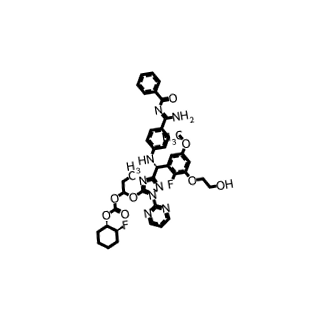 CCC(OC(=O)O[C@H]1CCCC[C@@H]1F)Oc1nc([C@H](Nc2ccc(/C(N)=N/C(=O)c3ccccc3)cc2)c2cc(OC)cc(OCCO)c2F)nn1-c1ncccn1